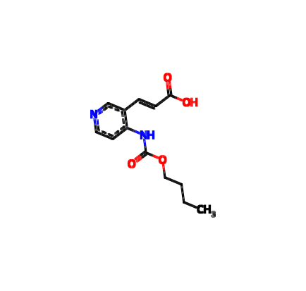 CCCCOC(=O)Nc1ccncc1C=CC(=O)O